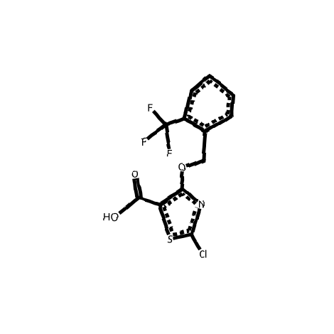 O=C(O)c1sc(Cl)nc1OCc1ccccc1C(F)(F)F